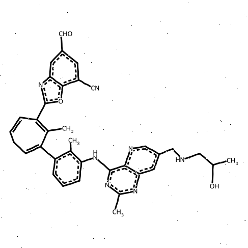 CC1=C(c2nc3cc(C=O)cc(C#N)c3o2)C=CCC=C1c1cccc(Nc2nc(C)nc3cc(CNCC(C)O)cnc23)c1C